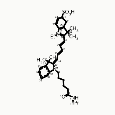 CCCNC(=O)CCCCCN1/C(=C/C=C/C=C/C2=[N+](CC)C3=C(CC(S(=O)(=O)O)C=C3)C2(C)C)C(C)(C)c2ccccc21